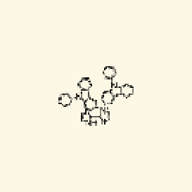 C1=C[N+](c2ccc3c(c2)c2ccccc2n3-c2ccccc2)(c2ccc3c(c2)c2ccccc2n3-c2ccccc2)C(c2ncc[nH]2)=N1